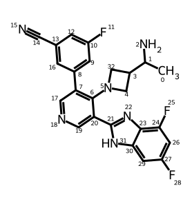 CC(N)C1CN(c2c(-c3cc(F)cc(C#N)c3)cncc2-c2nc3c(F)cc(F)cc3[nH]2)C1